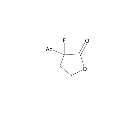 CC(=O)C1(F)CCOC1=O